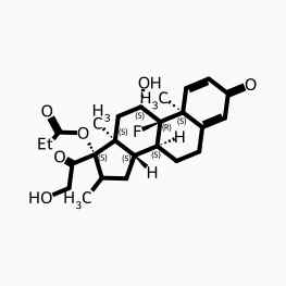 CCC(=O)O[C@@]1(C(=O)CO)C(C)C[C@H]2[C@@H]3CCC4=CC(=O)C=C[C@]4(C)[C@@]3(F)[C@@H](O)C[C@@]21C